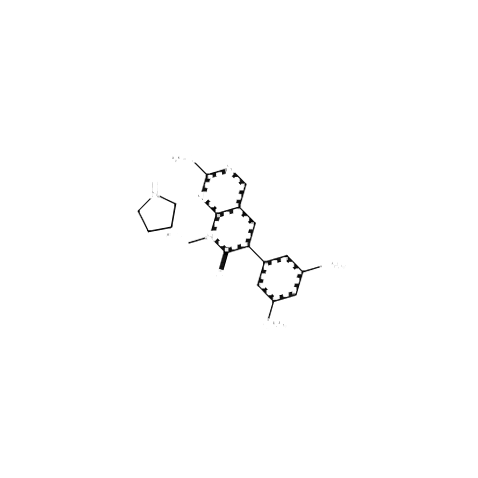 COc1cc(OC)cc(-c2cc3cnc(SC)nc3n(C[C@@H]3CCNC3)c2=O)c1